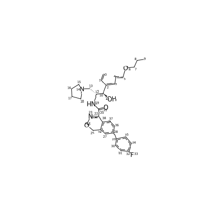 C=C/C(=C\C=C\OCCC)[C@@H](O)[C@@H](CN1CCCC1)NC(=O)C1=NOCc2cc(-c3ccc(F)cc3)ccc21